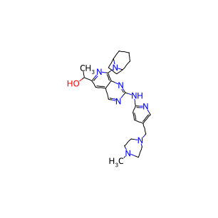 CC(O)c1cc2cnc(Nc3ccc(CN4CCN(C)CC4)cn3)nc2c(N2C3CCCC2CC3)n1